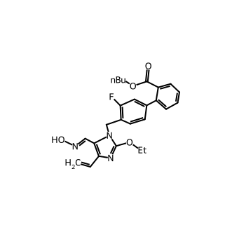 C=Cc1nc(OCC)n(Cc2ccc(-c3ccccc3C(=O)OCCCC)cc2F)c1C=NO